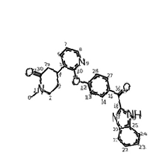 CN1CCC(c2cccnc2Oc2ccc(C(=O)c3nc4ccccc4[nH]3)cc2)CC1=O